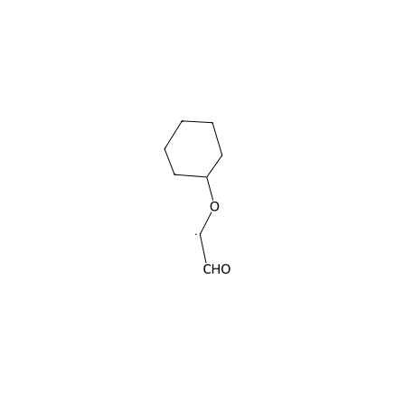 O=C[CH]OC1CCCCC1